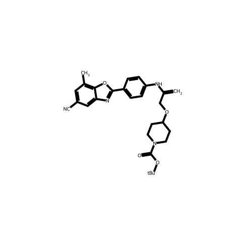 C=C(COC1CCN(C(=O)OC(C)(C)C)CC1)Nc1ccc(-c2nc3cc(C#N)cc(C)c3o2)cc1